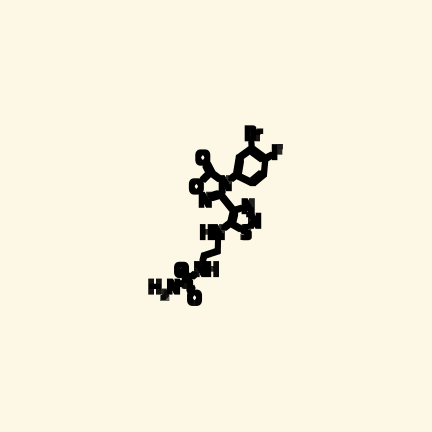 NS(=O)(=O)NCCNc1snnc1-c1noc(=O)n1-c1ccc(F)c(Br)c1